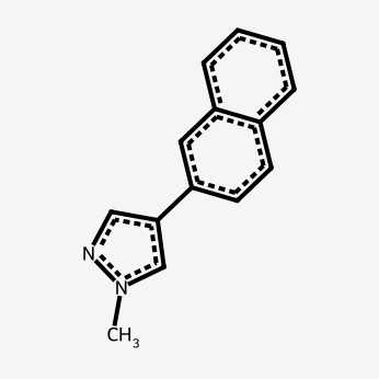 Cn1cc(-c2ccc3ccccc3c2)cn1